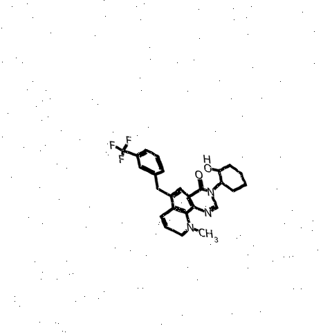 CN1CC=Cc2c(Cc3cccc(C(F)(F)F)c3)cc3c(=O)n(C4CCCCC4O)cnc3c21